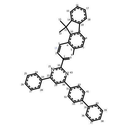 C=C(/C=C\c1c(C)ccc2c1C(C)(C)c1ccccc1-2)c1nc(-c2ccccc2)cc(-c2ccc(-c3ccccc3)cc2)n1